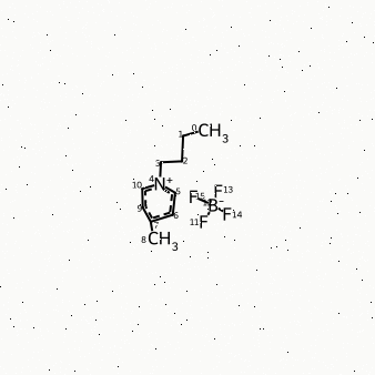 CCCC[n+]1ccc(C)cc1.F[B-](F)(F)F